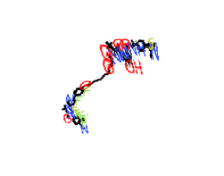 Cc1ncsc1-c1ccc([C@H](C)NC(=O)[C@@H]2C[C@@H](O)CN2C(=O)[C@@H](NC(=O)COCCCCCOc2ccc(-c3ncc(N(C(=S)N(C=O)c4ccc(C#N)c(C(F)(F)F)c4F)C(C)(C)C)cc3F)cc2F)C(C)(C)C)cc1